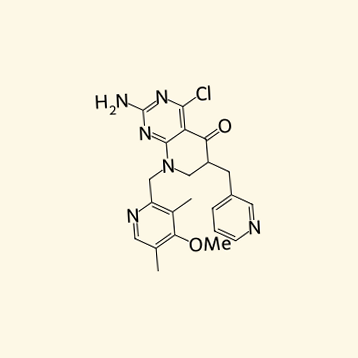 COc1c(C)cnc(CN2CC(Cc3cccnc3)C(=O)c3c(Cl)nc(N)nc32)c1C